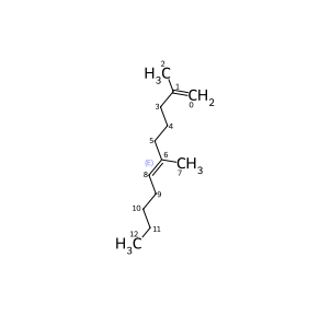 C=C(C)CCC/C(C)=C/CCCC